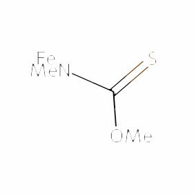 CNC(=S)OC.[Fe]